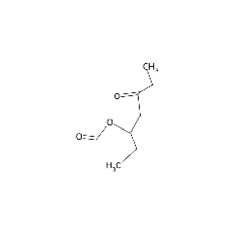 CCC(=O)CC(CC)OC=O